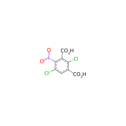 O=C(O)c1cc(Cl)c(I(=O)=O)c(C(=O)O)c1Cl